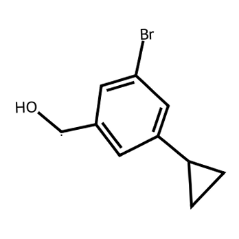 O[CH]c1cc(Br)cc(C2CC2)c1